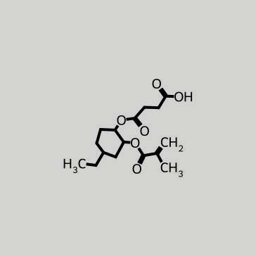 C=C(C)C(=O)OC1CC(CC)CCC1OC(=O)CCC(=O)O